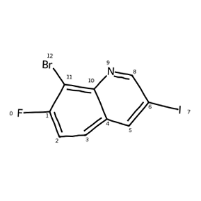 Fc1ccc2cc(I)cnc2c1Br